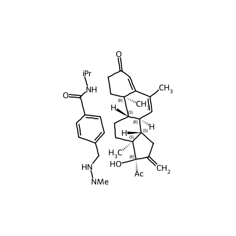 C=C1C[C@H]2[C@@H]3C=C(C)C4=CC(=O)CC[C@]4(C)[C@H]3CC[C@]2(C)[C@@]1(O)C(C)=O.CNNCc1ccc(C(=O)NC(C)C)cc1